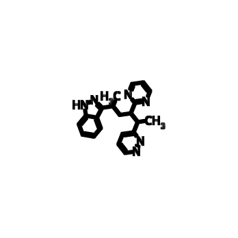 CC(CC(c1ncccn1)C(C)c1cccnn1)c1n[nH]c2ccccc12